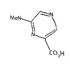 CNc1cncc(C(=O)O)n1